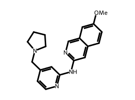 COc1ccc2cc(Nc3cc(CN4CCCC4)ccn3)ncc2c1